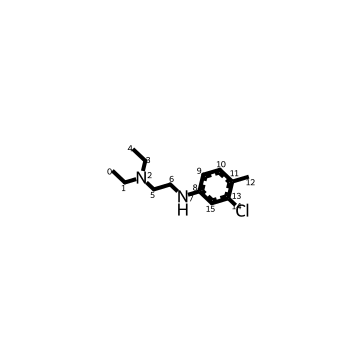 CCN(CC)CCNc1ccc(C)c(Cl)c1